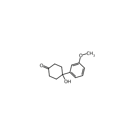 COc1cccc(C2(O)CCC(=O)CC2)c1